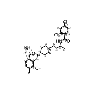 Cc1ccc2c(c1O)C[C@@H](C1CCN(CCC(C)NC(=O)c3ccc(Cl)cc3Cl)CC1)O[C@H]2CN